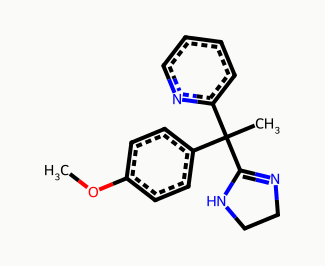 COc1ccc(C(C)(C2=NCCN2)c2ccccn2)cc1